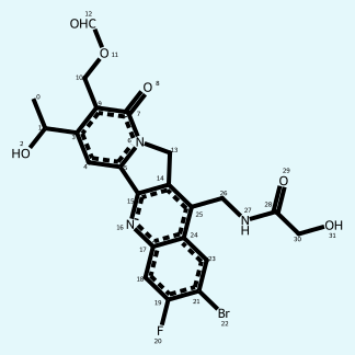 CC(O)c1cc2n(c(=O)c1COC=O)Cc1c-2nc2cc(F)c(Br)cc2c1CNC(=O)CO